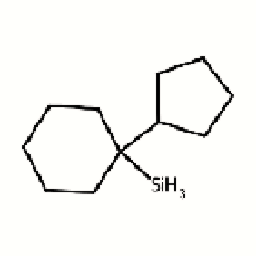 [SiH3]C1(C2CCCC2)CCCCC1